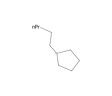 [CH2]CCCC[C]1CCCC1